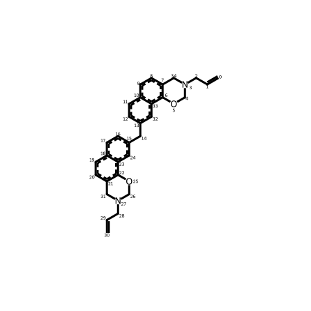 C=CCN1COc2c(ccc3ccc(Cc4ccc5ccc6c(c5c4)OCN(CC=C)C6)cc23)C1